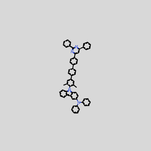 Cc1cc(-c2ccc(-c3ccc(-c4cc(-c5ccccc5)nc(-c5ccccc5)n4)cc3)cc2)cc(C)c1-n1c2ccccc2c2cc(N(c3ccccc3)c3ccccc3)ccc21